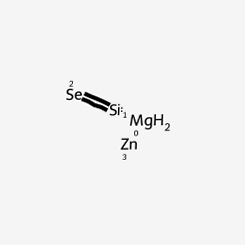 [MgH2].[Si]=[Se].[Zn]